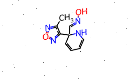 Cc1nonc1C1(C=NO)C=CC=CN1